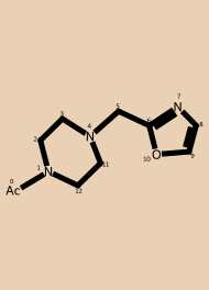 CC(=O)N1CCN(Cc2ncco2)CC1